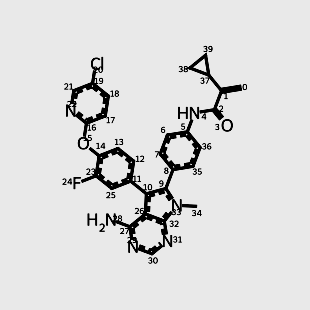 C=C(C(=O)Nc1ccc(-c2c(-c3ccc(Oc4ccc(Cl)cn4)c(F)c3)c3c(N)ncnc3n2C)cc1)C1CC1